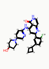 O=c1[nH]ccc2nc(-c3cc(C4CCC4)ccc3F)cc(Nc3ccc(N4CCC(O)CC4)cn3)c12